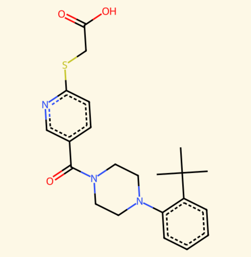 CC(C)(C)c1ccccc1N1CCN(C(=O)c2ccc(SCC(=O)O)nc2)CC1